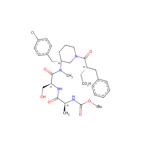 C[C@H](NC(=O)OC(C)(C)C)C(=O)N[C@@H](CO)C(=O)N(C)[C@@]1(Cc2ccc(Cl)cc2)CCCN(C(=O)[C@@H](CC(=O)O)Cc2ccccc2)C1